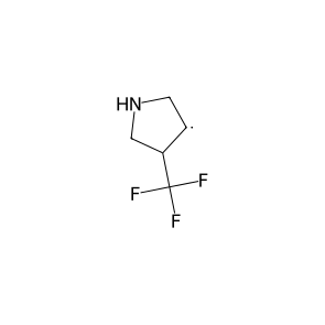 FC(F)(F)C1[CH]CNC1